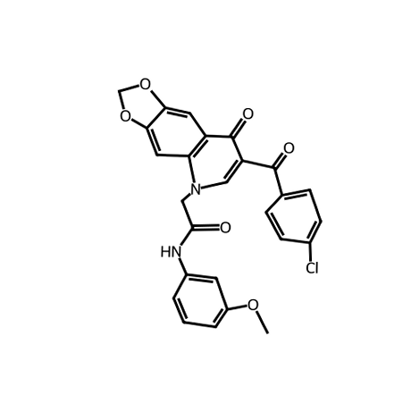 COc1cccc(NC(=O)Cn2cc(C(=O)c3ccc(Cl)cc3)c(=O)c3cc4c(cc32)OCO4)c1